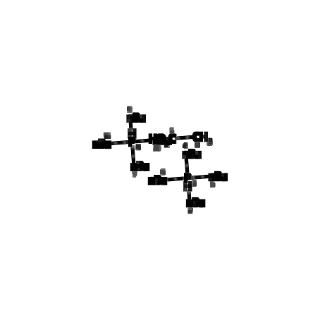 CC(=O)O.CCCC[PH](CCCC)(CCCC)CCCC.CCCC[PH](CCCC)(CCCC)CCCC